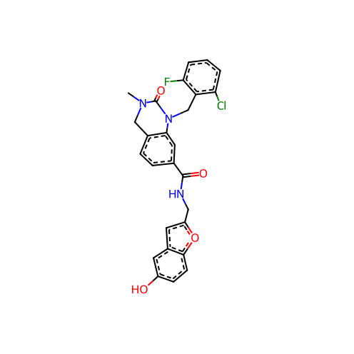 CN1Cc2ccc(C(=O)NCc3cc4cc(O)ccc4o3)cc2N(Cc2c(F)cccc2Cl)C1=O